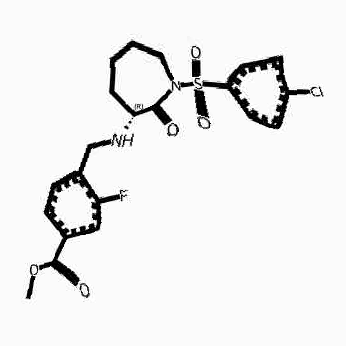 COC(=O)c1ccc(CN[C@@H]2CCCCN(S(=O)(=O)c3ccc(Cl)cc3)C2=O)c(F)c1